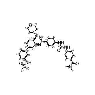 CN(C)C(=O)c1ccc(NC(=O)Nc2ccc(-c3nc(N4CCOCC4)c4ccc(-c5cccc(NS(C)(=O)=O)c5)cc4n3)cc2)cc1